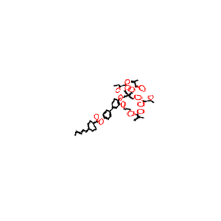 C=C(C)C(=O)OCCOc1cc(-c2ccc(OC(=O)C3CCC(CCCCC)CC3)cc2)ccc1OCC(COC(=O)C(=C)C)(COC(=O)C(C)=O)COC(=O)C(=O)CC